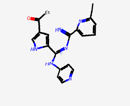 CCC(=O)c1c[nH]c(/C(=N\C(=N)c2cccc(C)n2)Nc2ccncc2)c1